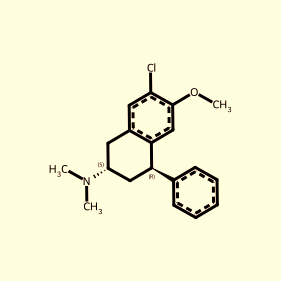 COc1cc2c(cc1Cl)C[C@@H](N(C)C)C[C@@H]2c1ccccc1